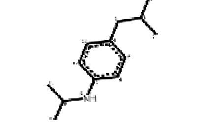 CC(C)Cc1ccc(NC(C)C)cc1